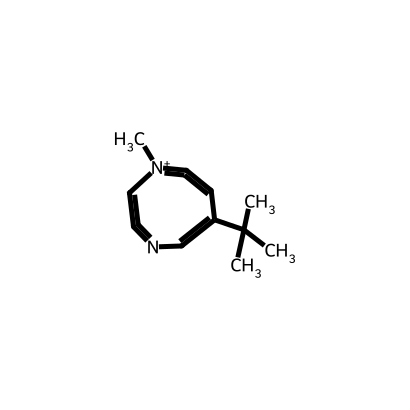 C[N+]1=C=C/C(C(C)(C)C)=C\N=C=C1